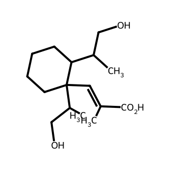 CC(=CC1(C(C)CO)CCCCC1C(C)CO)C(=O)O